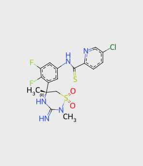 CN1C(=N)N[C@](C)(c2cc(NC(=S)c3ccc(Cl)cn3)cc(F)c2F)CS1(=O)=O